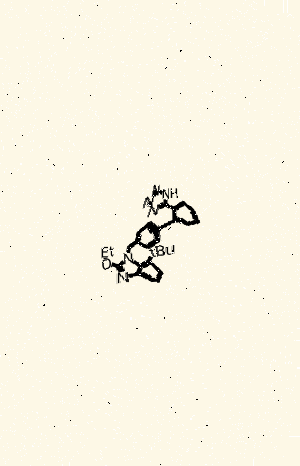 CCOc1nc2cccc(C(C)(C)C)c2n1Cc1ccc(-c2ccccc2-c2nnn[nH]2)cc1